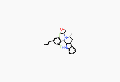 C/C=C/c1cc(F)c([C@@H]2c3[nH]c4ccccc4c3C[C@@H](C)N2C2COC2)c(F)c1